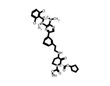 CN(C)c1ncc(-c2cccc(CCNC3CCN(C(=O)OC(C)(C)C)[C@@H](C(=O)OC4CCCC4)C3=O)c2)nc1N(C)Cc1c(Cl)cccc1Cl